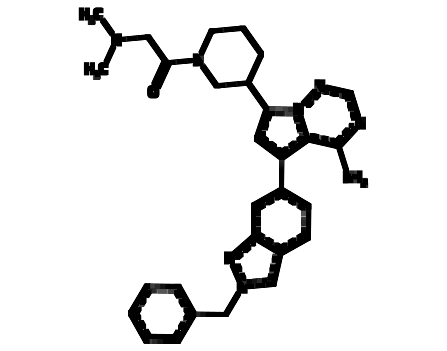 CN(C)CC(=O)N1CCCC(c2cc(-c3ccc4cn(Cc5ccccc5)nc4c3)c3c(N)ncnn23)C1